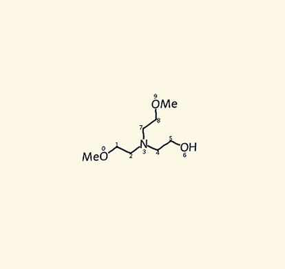 COCCN(CCO)CCOC